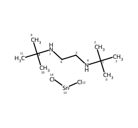 CC(C)(C)NCCNC(C)(C)C.[Cl][Sn][Cl]